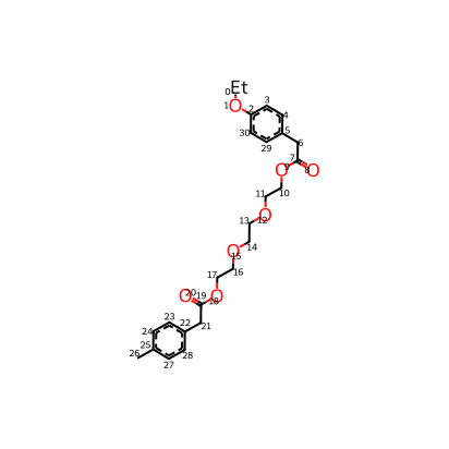 CCOc1ccc(CC(=O)OCCOCCOCCOC(=O)Cc2ccc(C)cc2)cc1